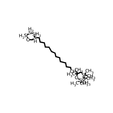 CC1(C)C[Si](C)(C)[Si](C)(C)[Si](C)(C)O1.CCCCCCCCCCCCCC[SiH]1CO[SiH2][SiH2][SiH2]1